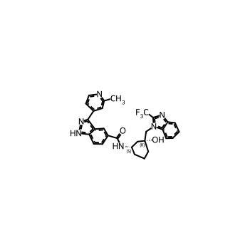 Cc1cc(-c2n[nH]c3ccc(C(=O)N[C@H]4CCC[C@](O)(Cn5c(C(F)(F)F)nc6ccccc65)C4)cc23)ccn1